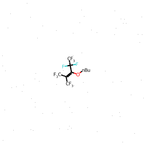 CCCCOC(=C(C(F)(F)F)C(F)(F)F)C(F)(F)C(F)(F)F